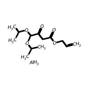 C=CCOC(=O)CC(=O)C(OC(C)C)OC(C)C.[AlH3]